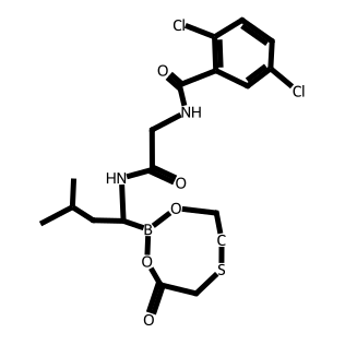 CC(C)CC(NC(=O)CNC(=O)c1cc(Cl)ccc1Cl)B1OCCSCC(=O)O1